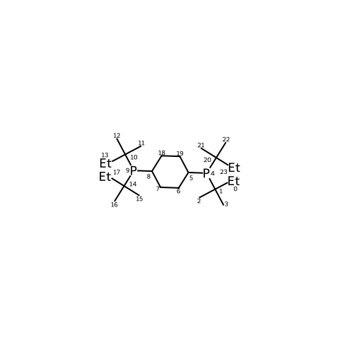 CCC(C)(C)P(C1CCC(P(C(C)(C)CC)C(C)(C)CC)CC1)C(C)(C)CC